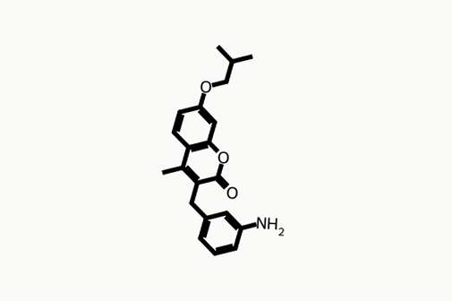 Cc1c(Cc2cccc(N)c2)c(=O)oc2cc(OCC(C)C)ccc12